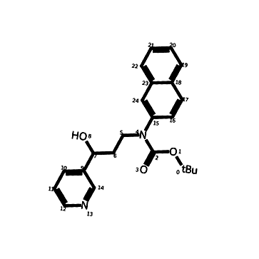 CC(C)(C)OC(=O)N(CCC(O)c1cccnc1)c1ccc2ccccc2c1